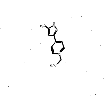 CCOC(=O)C[n+]1ccc(-c2cc(C)[nH]n2)cc1